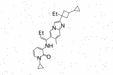 CC/C=C(/Nc1cccn(C2CC2)c1=O)c1cn2cc(C3(CC)CC(C4CC4)C3)nc2cc1C